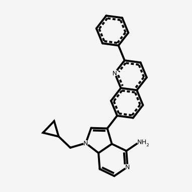 NC1=NC=CC2C1C(c1ccc3ccc(-c4ccccc4)nc3c1)=CN2CC1CC1